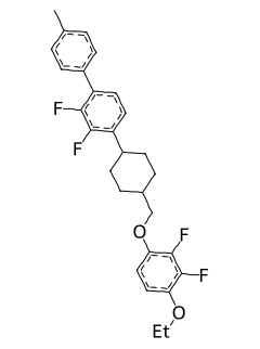 CCOc1ccc(OCC2CCC(c3ccc(-c4ccc(C)cc4)c(F)c3F)CC2)c(F)c1F